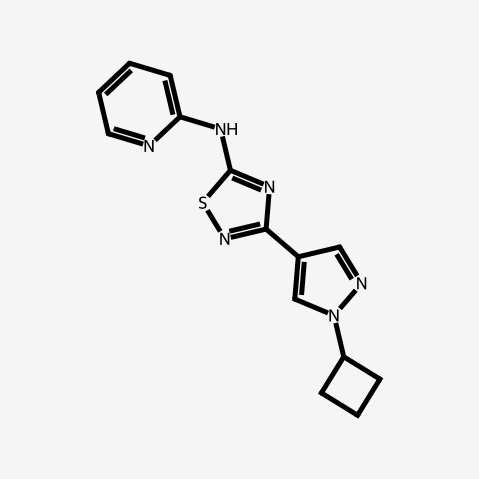 c1ccc(Nc2nc(-c3cnn(C4CCC4)c3)ns2)nc1